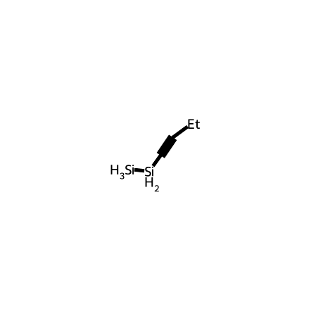 CCC#C[SiH2][SiH3]